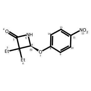 CCC1(CC)C(=O)N[C@H]1Oc1ccc([N+](=O)[O-])cc1